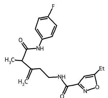 C=C(CCNC(=O)c1cc(CC)on1)C(C)C(=O)Nc1ccc(F)cc1